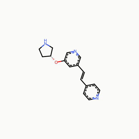 C(=C\c1cncc(O[C@@H]2CCNC2)c1)/c1ccncc1